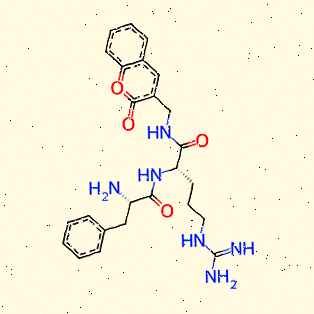 N=C(N)NCCC[C@H](NC(=O)[C@@H](N)Cc1ccccc1)C(=O)NCc1cc2ccccc2oc1=O